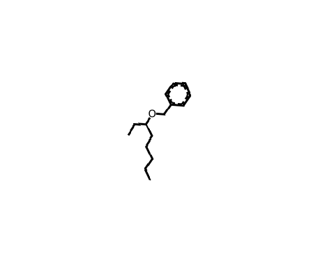 CCCCCC(CC)OCc1ccccc1